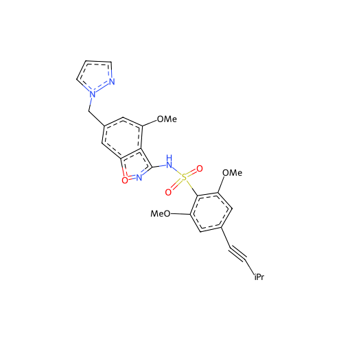 COc1cc(C#CC(C)C)cc(OC)c1S(=O)(=O)Nc1noc2cc(Cn3cccn3)cc(OC)c12